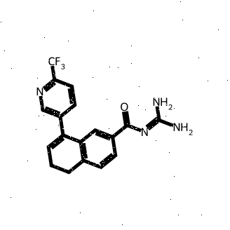 NC(N)=NC(=O)c1ccc2c(c1)C(c1ccc(C(F)(F)F)nc1)=CCC2